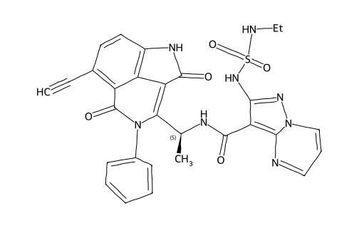 C#Cc1ccc2c3c(c([C@H](C)NC(=O)c4c(NS(=O)(=O)NCC)nn5cccnc45)n(-c4ccccc4)c(=O)c13)C(=O)N2